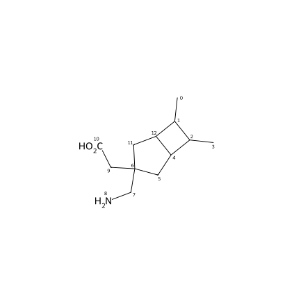 CC1C(C)C2CC(CN)(CC(=O)O)CC12